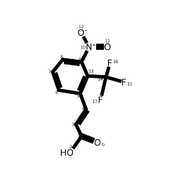 O=C(O)C=Cc1cccc([N+](=O)[O-])c1C(F)(F)F